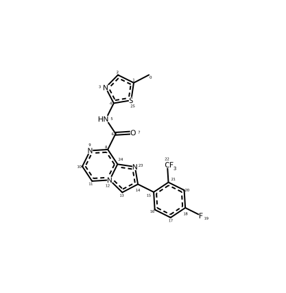 Cc1cnc(NC(=O)c2nccn3cc(-c4ccc(F)cc4C(F)(F)F)nc23)s1